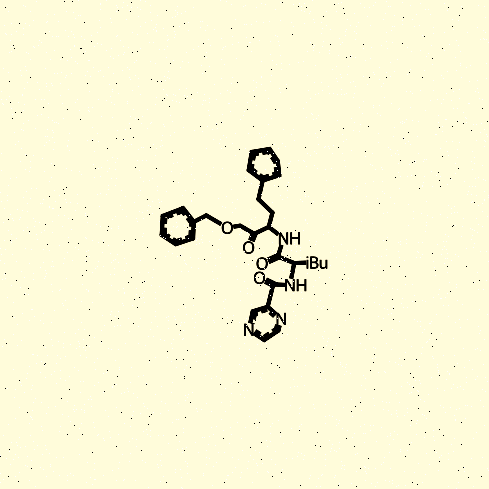 CCC(C)C(NC(=O)c1cnccn1)C(=O)NC(CCc1ccccc1)C(=O)COCc1ccccc1